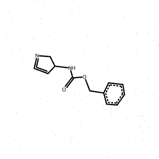 O=C(NC1C=C=NC1)OCc1ccccc1